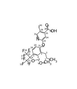 CCCc1cc(C(OCOC)(C(F)(F)F)C(F)(F)F)ccc1Oc1cc(C(=O)O)c(I)cn1